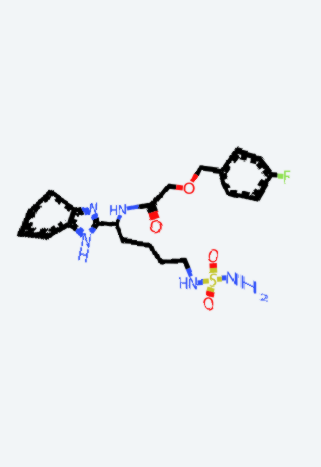 NS(=O)(=O)NCCCCC(NC(=O)COCc1ccc(F)cc1)c1nc2ccccc2[nH]1